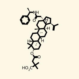 C=C(C)[C@@H]1CC[C@]2(CC(=O)N[C@H](C)c3ccccc3)CC[C@]3(C)[C@H](CC[C@@H]4[C@@]5(C)CC[C@H](OC(=O)CC(C)(C)C(=O)O)C(C)(C)[C@@H]5CC[C@]43C)[C@@H]12